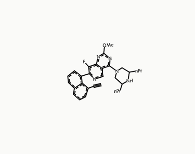 C#Cc1cccc2cccc(-c3ncc4c(N5CC(CCC)NC(CCC)C5)nc(OC)nc4c3F)c12